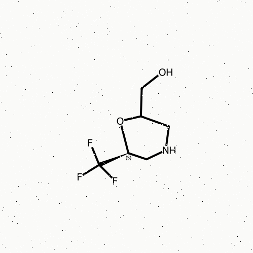 OCC1CNC[C@@H](C(F)(F)F)O1